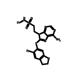 CCc1cc2c(cc1Sc1nc3c(N)ncnc3n1CCS(=O)(=O)NC(C)C)OCC2